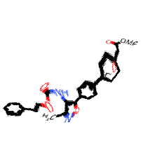 COC(=O)CC12CCC(c3ccc(-c4onc(C)c4NC(=O)OCCc4ccccc4)cc3)(CC1)CO2